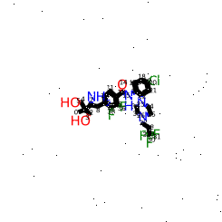 CC(CO)(CO)C(N)Cc1ccc(C(=O)Nc2ccc(Cl)cc2N2CCN(CCC(F)(F)F)CC2)c(F)c1F